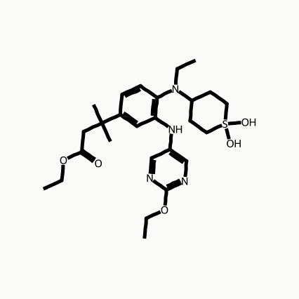 CCOC(=O)CC(C)(C)c1ccc(N(CC)C2CCS(O)(O)CC2)c(Nc2cnc(OCC)nc2)c1